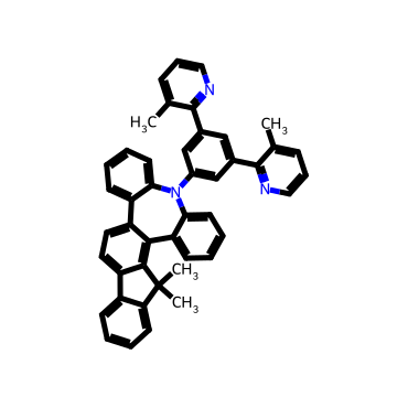 Cc1cccnc1-c1cc(-c2ncccc2C)cc(N2c3ccccc3-c3ccc4c(c3-c3ccccc32)C(C)(C)c2ccccc2-4)c1